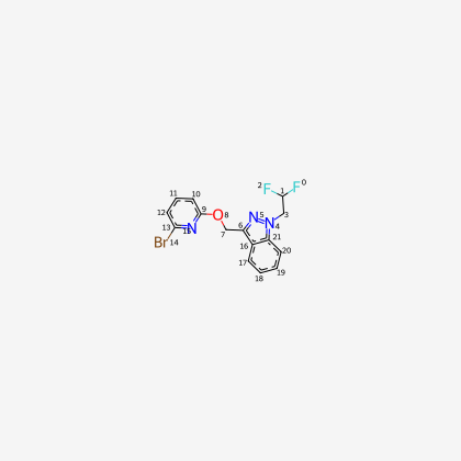 FC(F)Cn1nc(COc2cccc(Br)n2)c2ccccc21